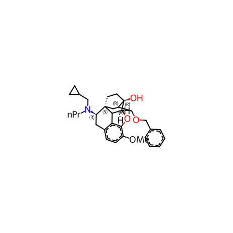 CCCN(CC1CC1)[C@@H]1Cc2ccc(OC)c3c2C2[C@@H](O3)[C@@]3(O)CC[C@]21C[C@@H]3COCc1ccccc1